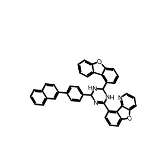 c1ccc2cc(-c3ccc(C4N=C(c5cccc6oc7cccnc7c56)NC(c5cccc6oc7ccccc7c56)N4)cc3)ccc2c1